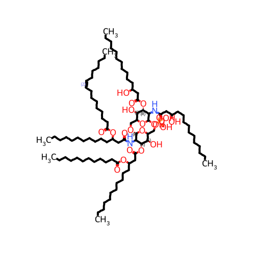 CCCCCC/C=C\CCCCCCCC(=O)OC(CCCCCCCCCCC)CC(=O)NC1[C@H](OCC2OC(OP(=O)(O)O)C(NC(=O)CC(O)CCCCCCCCCCC)[C@@H](OC(=O)CC(O)CCCCCCCCCCC)[C@@H]2O)OC(CO)[C@@H](O)[C@@H]1OC(=O)CC(CCCCCCCCCCC)OC(=O)CCCCCCCCCCC